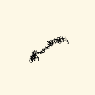 CC1(C)OCc2cc([C@@H]3CN(CCCCCCOCCC#Cc4cccc(-n5ccc(=O)[nH]c5=O)c4)C(=O)O3)ccc2O1